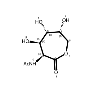 CC(=O)N[C@@H]1C(=O)OC[C@@H](O)[C@@H](O)[C@@H]1O